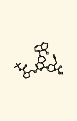 CC(C)(C)OC(=O)N1CCCC1COc1nc2c(c(N3CCN(C(=O)O)C(CC#N)C3)n1)CCN(c1cccc3cccc(Cl)c13)C2